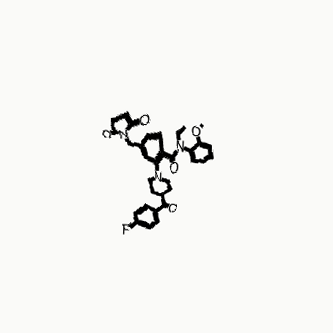 CCN(C(=O)c1ccc(CN2C(=O)CCC2=O)cc1N1CCC(C(=O)c2ccc(F)cc2)CC1)c1ccccc1OC